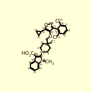 Cn1c(N2CCC(F)(COc3c(-c4c(Cl)cccc4Cl)noc3C3CC3)CC2)c(C(=O)O)c2ccccc21